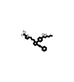 CCCCCC(O)c1ccc(C2=C(C#Cc3ccccc3)CCC2CCCc2ccc(C(=O)OC)s2)cc1